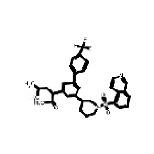 CC(=O)C(CC(C)C)c1cc(-c2ccc(C(F)(F)F)cc2)cc(C2CCCN(S(=O)(=O)c3cccc4cnccc34)C2)c1